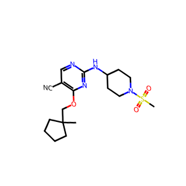 CC1(COc2nc(NC3CCN(S(C)(=O)=O)CC3)ncc2C#N)CCCC1